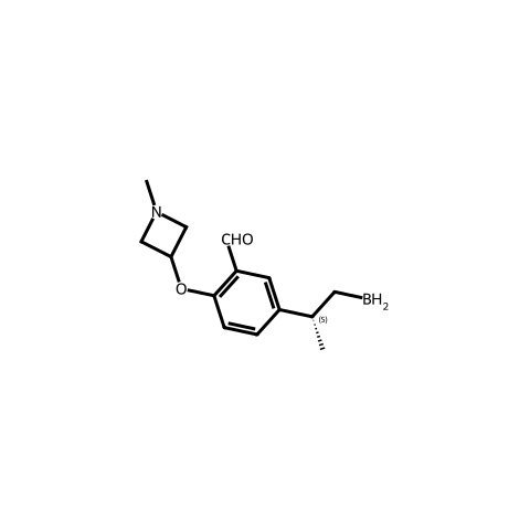 BC[C@H](C)c1ccc(OC2CN(C)C2)c(C=O)c1